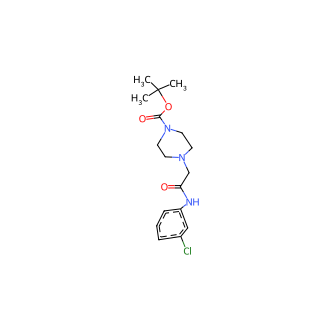 CC(C)(C)OC(=O)N1CCN(CC(=O)Nc2cccc(Cl)c2)CC1